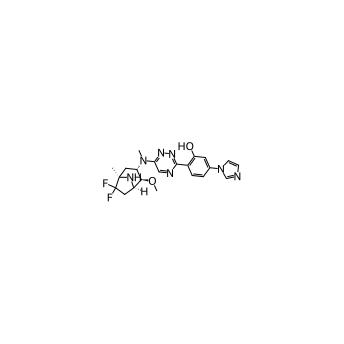 CO[C@H]1[C@H]2CC(F)(F)[C@@](C)(C[C@@H]1N(C)c1cnc(-c3ccc(-n4ccnc4)cc3O)nn1)N2